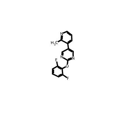 Cc1ncccc1-c1cnc(Oc2c(F)cccc2F)nc1